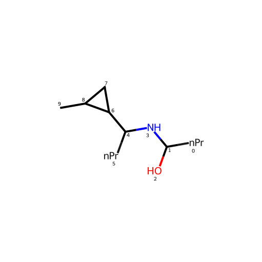 CCCC(O)NC(CCC)C1CC1C